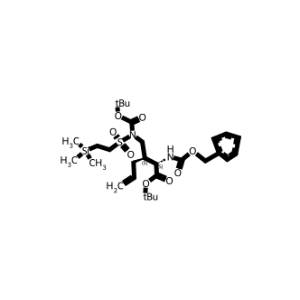 C=CC[C@@H](CN(C(=O)OC(C)(C)C)S(=O)(=O)CC[Si](C)(C)C)[C@H](NC(=O)OCc1ccccc1)C(=O)OC(C)(C)C